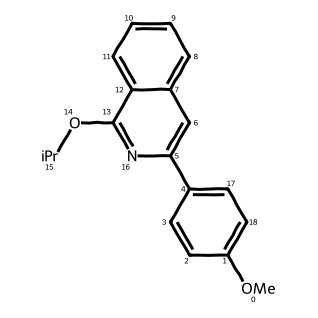 COc1ccc(-c2cc3ccccc3c(OC(C)C)n2)cc1